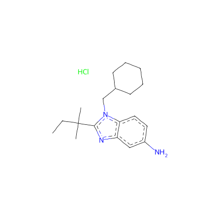 CCC(C)(C)c1nc2cc(N)ccc2n1CC1CCCCC1.Cl